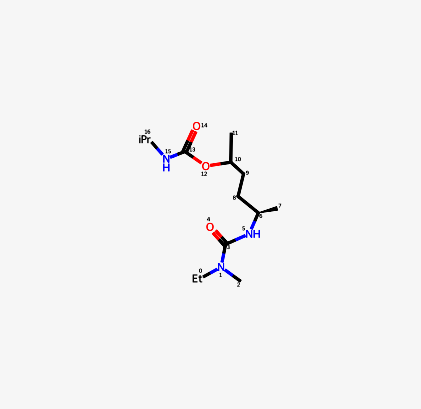 CCN(C)C(=O)N[C@H](C)CCC(C)OC(=O)NC(C)C